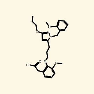 CCCOc1cc(CCCOc2c(CC(=O)O)cccc2OC)n(Cc2ccccc2OC)n1